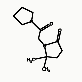 CC1(C)CCC(=O)N1CC(=O)N1CCCC1